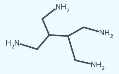 NCC(CN)C(CN)CN